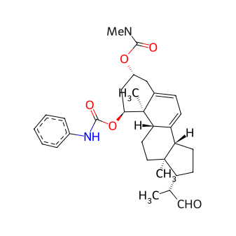 CNC(=O)O[C@@H]1CC2=CC=C3[C@@H]4CC[C@H](C(C)C=O)[C@@]4(C)CC[C@@H]3[C@@]2(C)[C@@H](OC(=O)Nc2ccccc2)C1